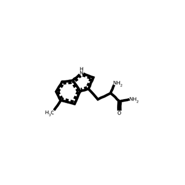 Cc1ccc2[nH]cc(CC(N)C(N)=O)c2c1